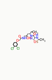 C=CC(C[C@H](O)CNC(=O)COc1ccc(Cl)c(Cl)c1)NC(=O)C1COSC(C)N1